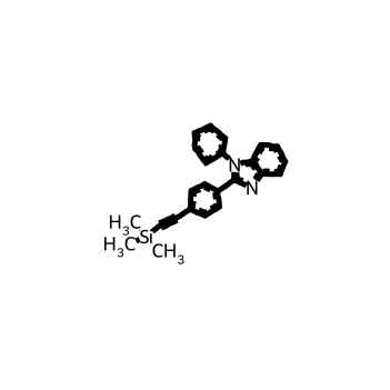 C[Si](C)(C)C#Cc1ccc(-c2nc3ccccc3n2-c2ccccc2)cc1